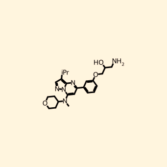 CC(C)c1cnn2c(N(C)C3CCOCC3)cc(-c3cccc(OCC(O)CN)c3)nc12